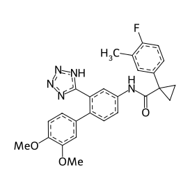 COc1ccc(-c2ccc(NC(=O)C3(c4ccc(F)c(C)c4)CC3)cc2-c2nnn[nH]2)cc1OC